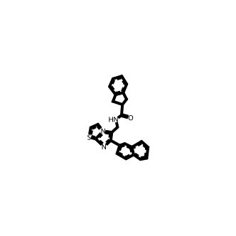 O=C(NCc1c(-c2ccc3ccccc3c2)nc2sccn12)C1Cc2ccccc2C1